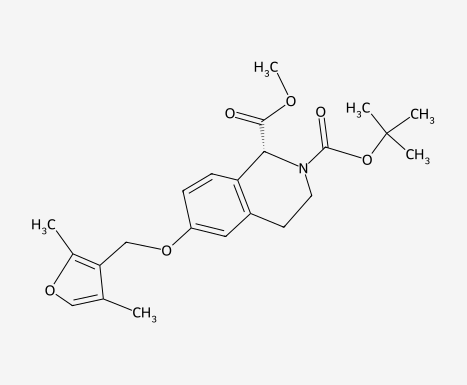 COC(=O)[C@H]1c2ccc(OCc3c(C)coc3C)cc2CCN1C(=O)OC(C)(C)C